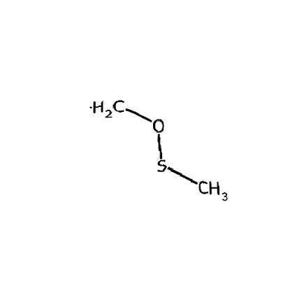 [CH2]OSC